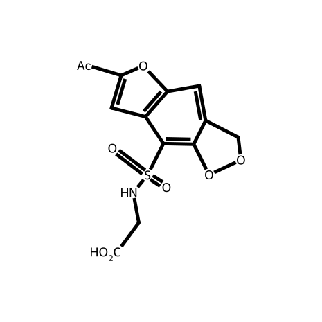 CC(=O)c1cc2c(S(=O)(=O)NCC(=O)O)c3c(cc2o1)COO3